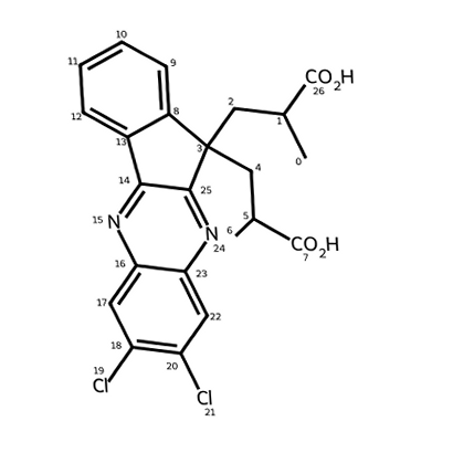 CC(CC1(CC(C)C(=O)O)c2ccccc2-c2nc3cc(Cl)c(Cl)cc3nc21)C(=O)O